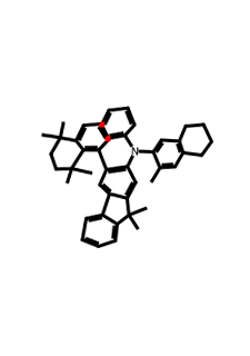 Cc1cc2c(cc1N(c1ccccc1)c1cc3c(cc1-c1cccc4c1C(C)(C)CCC4(C)C)-c1ccccc1C3(C)C)CCCC2